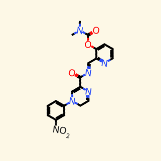 CN(C)C(=O)Oc1cccnc1C=NC(=O)C1=CN(c2cccc([N+](=O)[O-])c2)CC=N1